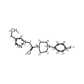 CCc1cnn(CC(=O)N2CCN(c3ccc(F)cc3)CC2)c1